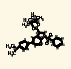 CN(C)c1ccc(-c2cnc3c(c2)c(B2OC(C)(C)C(C)(C)O2)cn3S(=O)(=O)c2ccccc2)cc1